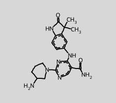 CC1(C)C(=O)Nc2ccc(Nc3nc(N4CCCC(N)C4)ncc3C(N)=O)cc21